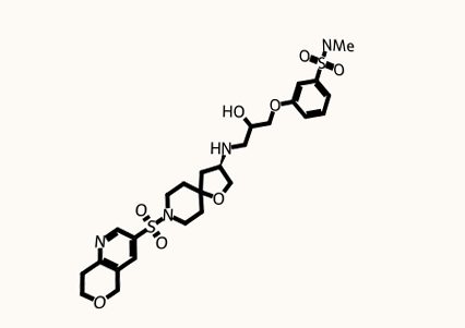 CNS(=O)(=O)c1cccc(OCC(O)CN[C@H]2COC3(CCN(S(=O)(=O)c4cnc5c(c4)COCC5)CC3)C2)c1